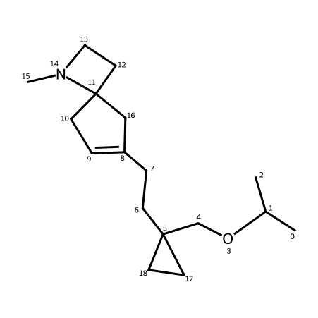 CC(C)OCC1(CCC2=CCC3(CCN3C)C2)CC1